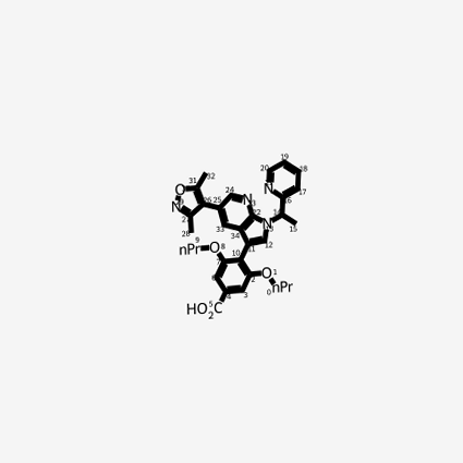 CCCOc1cc(C(=O)O)cc(OCCC)c1-c1cn(C(C)c2ccccn2)c2ncc(-c3c(C)noc3C)cc12